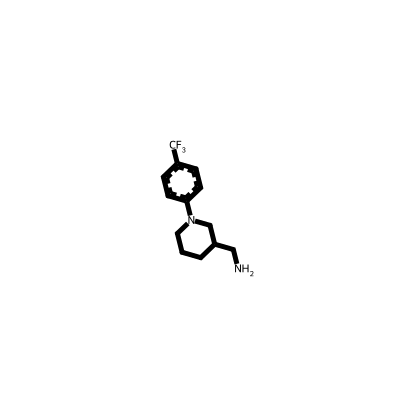 NCC1CCCN(c2ccc(C(F)(F)F)cc2)C1